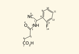 N#CC(NC(=O)CCC(=O)O)c1ccccc1F